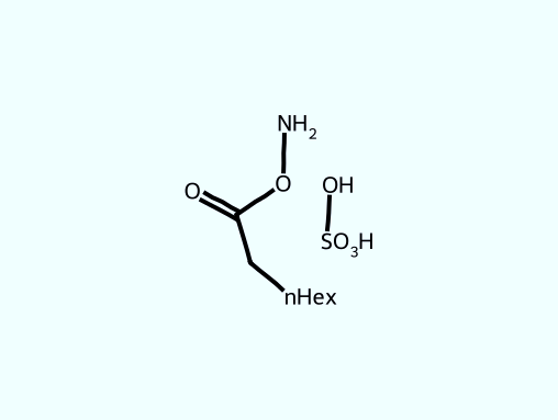 CCCCCCCC(=O)ON.O=S(=O)(O)O